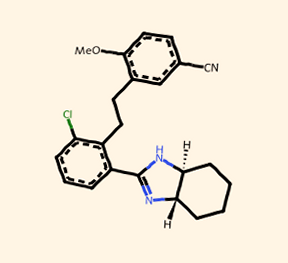 COc1ccc(C#N)cc1CCc1c(Cl)cccc1C1=N[C@H]2CCCC[C@@H]2N1